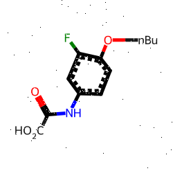 CCCCOc1ccc(NC(=O)C(=O)O)cc1F